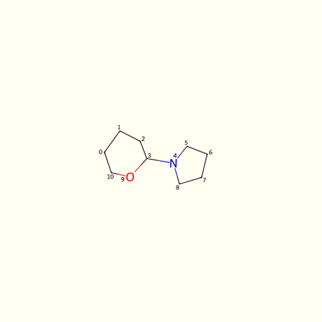 C1CCC(N2CCCC2)OC1